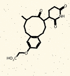 CC1CCc2cc(OCC(=O)O)ccc2CCC(C2CCC(=O)NC2=O)C(=O)C1